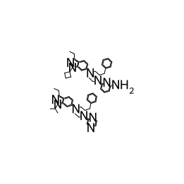 CCc1nn(C(C)C)c2cc(N3CCN(c4cnccn4)C(Cc4ccccc4)C3)ccc12.CCc1nn(C2CCC2)c2cc(N3CCN(c4cccc(N)n4)C(Cc4ccccc4)C3)ccc12